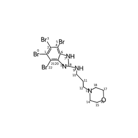 Brc1c(Br)c(Br)c2[nH]c(NCCCN3CCOCC3)nc2c1Br